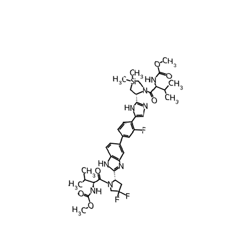 COC(=O)N[C@H](C(=O)N1C[Si](C)(C)C[C@H]1c1ncc(-c2ccc(-c3ccc4[nH]c([C@@H]5CC(F)(F)CN5C(=O)[C@@H](NC(=O)OC)C(C)C)nc4c3)cc2F)[nH]1)C(C)C